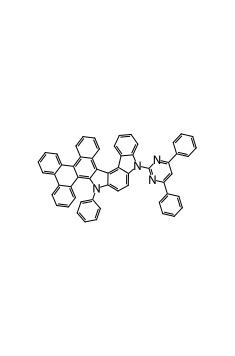 c1ccc(-c2cc(-c3ccccc3)nc(-n3c4ccccc4c4c5c6c7ccccc7c7c8ccccc8c8ccccc8c7c6n(-c6ccccc6)c5ccc43)n2)cc1